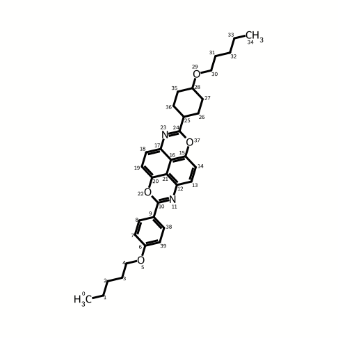 CCCCCOc1ccc(C2=Nc3ccc4c5c(ccc(c35)O2)N=C(C2CCC(OCCCCC)CC2)O4)cc1